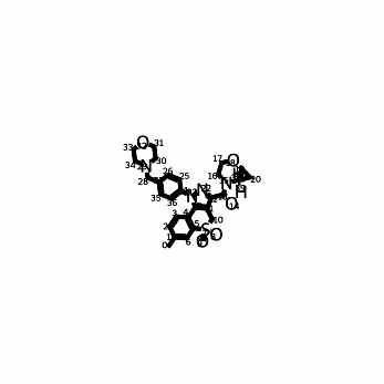 Cc1ccc2c(c1)S(=O)(=O)Cc1c(C(=O)N3CCO[C@@H]4C[C@@H]43)nn(-c3ccc(CN4CCOCC4)cc3)c1-2